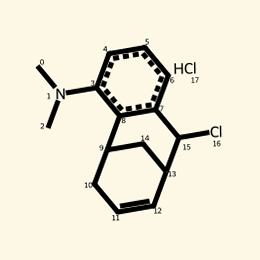 CN(C)c1cccc2c1C1CC=CC(C1)C2Cl.Cl